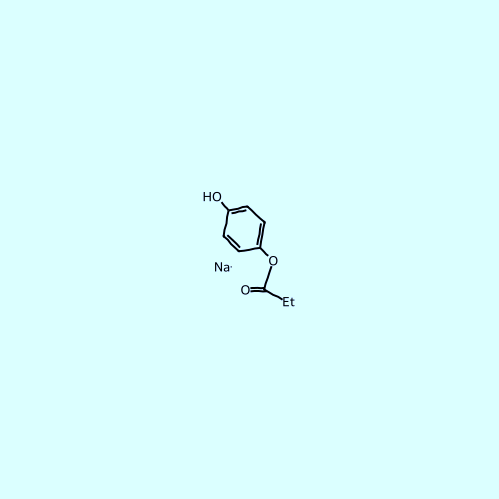 CCC(=O)Oc1ccc(O)cc1.[Na]